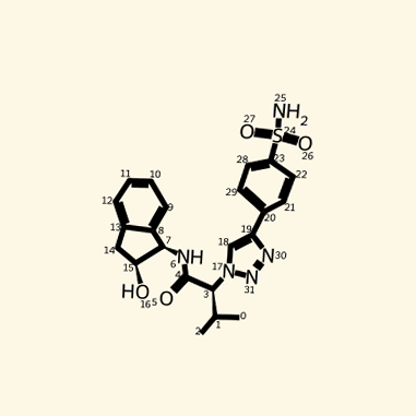 CC(C)[C@@H](C(=O)N[C@@H]1c2ccccc2C[C@@H]1O)n1cc(-c2ccc(S(N)(=O)=O)cc2)nn1